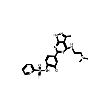 Cc1n[nH]c2nc(-c3ccc(NS(=O)(=O)c4ccccn4)c(Cl)c3)nc(NCCN(C)C)c12